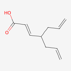 C=CCC(/C=C/C(=O)O)CC=C